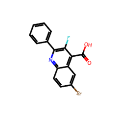 O=C(O)c1c(F)c(-c2ccccc2)nc2ccc(Br)cc12